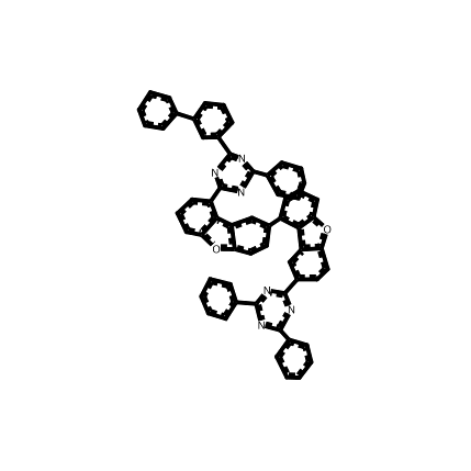 c1ccc(-c2cccc(-c3nc(-c4ccccc4)nc(-c4cccc5oc6ccc(-c7cccc8oc9ccc(-c%10nc(-c%11ccccc%11)nc(-c%11ccccc%11)n%10)cc9c78)cc6c45)n3)c2)cc1